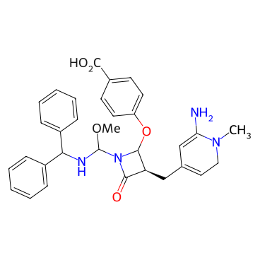 COC(NC(c1ccccc1)c1ccccc1)N1C(=O)[C@H](CC2=CCN(C)C(N)=C2)C1Oc1ccc(C(=O)O)cc1